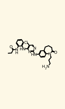 CCC(=O)Nc1ccccc1Nc1nc(Nc2ccc3c(c2)CCCC(=O)N3CCCN)ncc1Cl